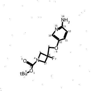 CC(C)(C)OC(=O)N1CC(F)(COc2ccc(N)nc2)C1